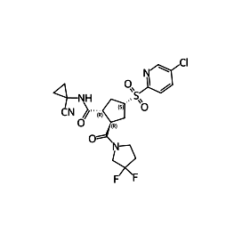 N#CC1(NC(=O)[C@@H]2C[C@H](S(=O)(=O)c3ccc(Cl)cn3)C[C@H]2C(=O)N2CCC(F)(F)C2)CC1